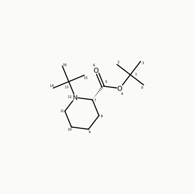 CC(C)(C)OC(=O)[C@@H]1CCCCN1C(C)(C)C